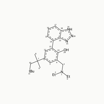 CCN(CC)Cc1cc(C(C)(C)CC(C)(C)C)cc(-c2cccc3[nH]nnc23)c1O